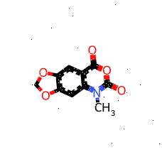 Cn1c(=O)oc(=O)c2cc3c(cc21)OCO3